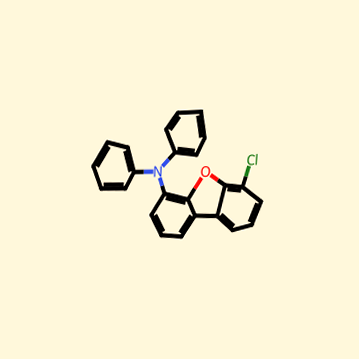 Clc1cccc2c1oc1c(N(c3ccccc3)c3ccccc3)cccc12